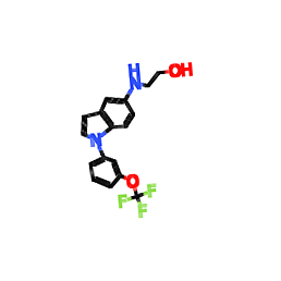 OCCNc1ccc2c(ccn2-c2cccc(OC(F)(F)F)c2)c1